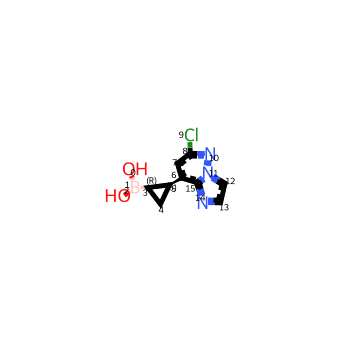 OB(O)[C@@H]1C[C@@H]1c1cc(Cl)nn2ccnc12